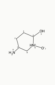 NC1CCC(O)[NH+]([O-])C1